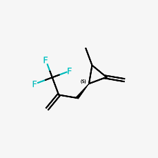 C=C1C(C)[C@@H]1CC(=C)C(F)(F)F